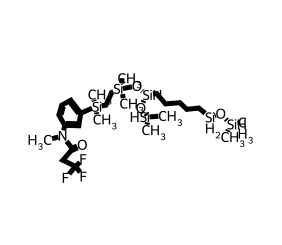 CN(C(=O)CC(F)(F)F)c1cccc([Si](C)(C)CC[Si](C)(C)O[SiH](CCCCC[SiH2]O[SiH](C)C)O[SiH](C)C)c1